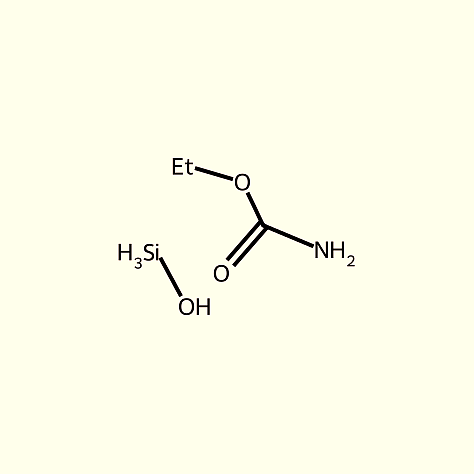 CCOC(N)=O.O[SiH3]